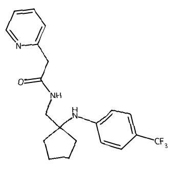 O=C(Cc1ccccn1)NCC1(Nc2ccc(C(F)(F)F)cc2)CCCC1